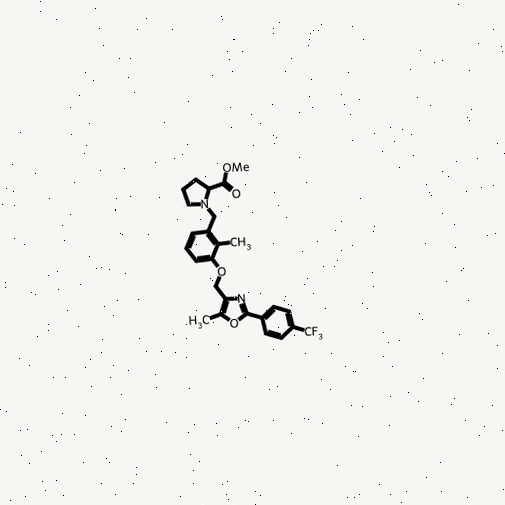 COC(=O)C1CCCN1Cc1cccc(OCc2nc(-c3ccc(C(F)(F)F)cc3)oc2C)c1C